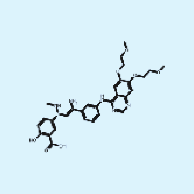 CNN(/C=C(\N)c1cccc(Nc2ncnc3cc(OCCOC)c(OCCOC)cc23)c1)c1ccc(O)c(C(=O)O)c1